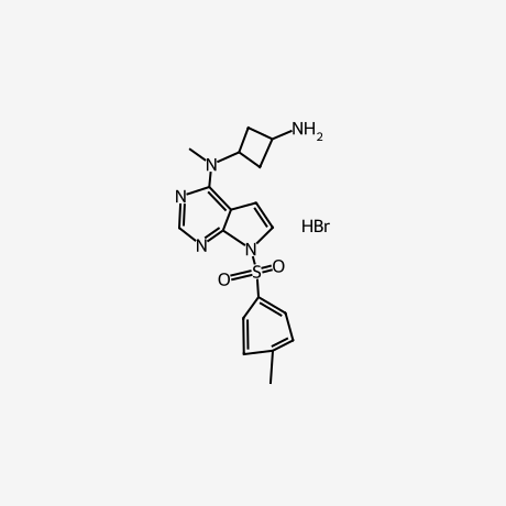 Br.Cc1ccc(S(=O)(=O)n2ccc3c(N(C)C4CC(N)C4)ncnc32)cc1